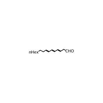 CCCCCCCCC=CC=CC=CCC=O